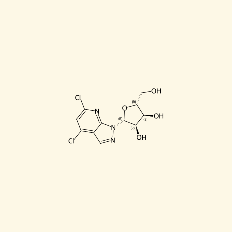 OC[C@H]1O[C@@H](n2ncc3c(Cl)cc(Cl)nc32)[C@H](O)[C@@H]1O